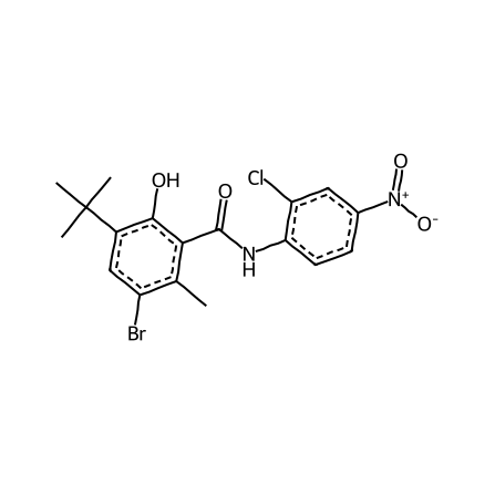 Cc1c(Br)cc(C(C)(C)C)c(O)c1C(=O)Nc1ccc([N+](=O)[O-])cc1Cl